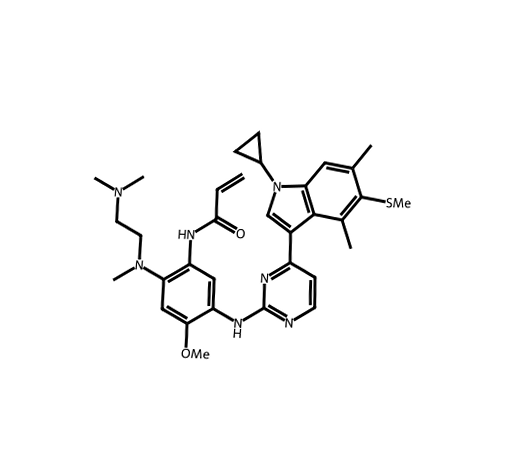 C=CC(=O)Nc1cc(Nc2nccc(-c3cn(C4CC4)c4cc(C)c(SC)c(C)c34)n2)c(OC)cc1N(C)CCN(C)C